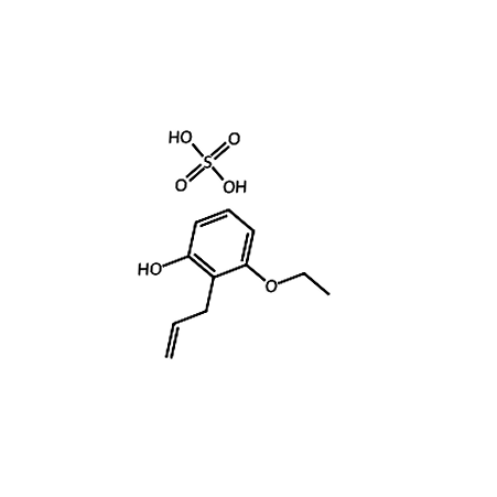 C=CCc1c(O)cccc1OCC.O=S(=O)(O)O